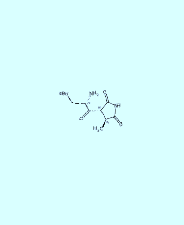 C[C@@H]1C(=O)NC(=O)[C@H]1C(=O)[C@@H](N)CC(C)(C)C